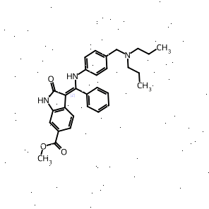 CCCN(CCC)Cc1ccc(N/C(=C2\C(=O)Nc3cc(C(=O)OC)ccc32)c2ccccc2)cc1